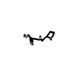 NC(=O)OCC1CCS1